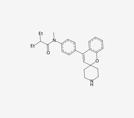 CCC(CC)C(=O)N(C)c1ccc(C2=CC3(CCNCC3)Oc3ccccc32)cc1